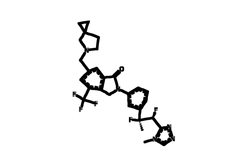 Cn1cnnc1[C@H](F)[C@@](C)(F)c1cccc(N2Cc3c(cc(CN4CCC5(CC5)C4)cc3C(F)(F)F)C2=O)c1